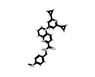 CSc1ccc(CNC(=O)c2ccc3c(n2)CCCN3c2cc(C3CC3)nc(C3CC3)c2)cc1